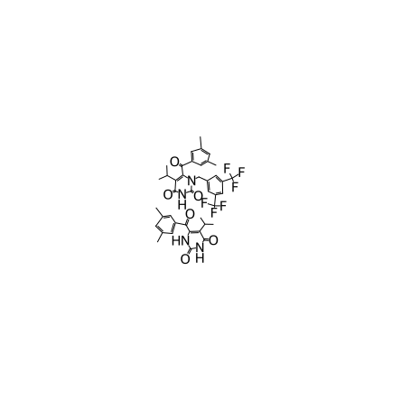 Cc1cc(C)cc(C(=O)c2[nH]c(=O)[nH]c(=O)c2C(C)C)c1.Cc1cc(C)cc(C(=O)c2c(C(C)C)c(=O)[nH]c(=O)n2Cc2cc(C(F)(F)F)cc(C(F)(F)F)c2)c1